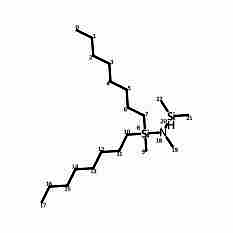 CCCCCCCC[Si](C)(CCCCCCCC)N(C)[SiH](C)C